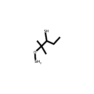 CCC(S)C(C)(C)O[SiH3]